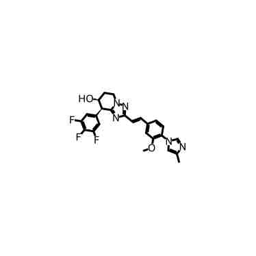 COc1cc(/C=C/c2nc3n(n2)CC[C@H](O)[C@@H]3c2cc(F)c(F)c(F)c2)ccc1-n1cnc(C)c1